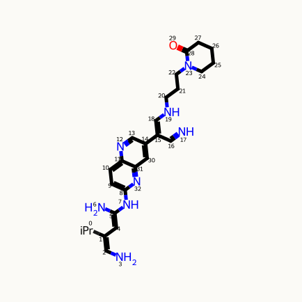 CC(C)C(=C/N)/C=C(\N)Nc1ccc2ncc(/C(C=N)=C/NCCCN3CCCCC3=O)cc2n1